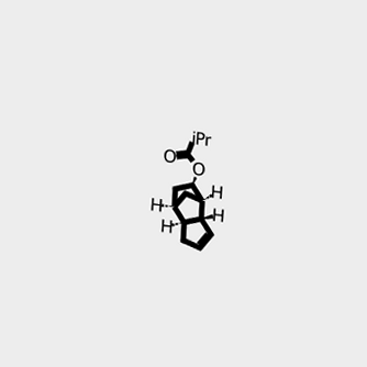 CC(C)C(=O)O[C@H]1C[C@H]2C[C@@H]1[C@@H]1C=CC[C@@H]21